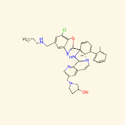 Cc1ccccc1C1=CC=CC(Nc2nccc3cc(CN4CCC(O)C4)cnc23)(c2nc3cc(CNCCC(=O)O)cc(Cl)c3o2)[C@H]1C